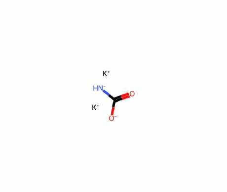 [K+].[K+].[NH-]C(=O)[O-]